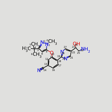 Cn1nc(C(C)(C)C)cc1Oc1cc(C#N)ccc1-c1ncc(C(O)CN)cn1